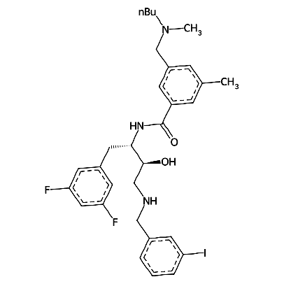 CCCCN(C)Cc1cc(C)cc(C(=O)N[C@@H](Cc2cc(F)cc(F)c2)[C@@H](O)CNCc2cccc(I)c2)c1